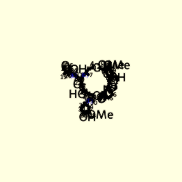 CO[C@H]1C[C@@H](C)C/C(C)=C/[C@@H](C/C=C/C2(O)COCC2(C)C)C(=O)C[C@H](O)[C@@H](C)[C@@H](/C(C)=C/[C@@H]2CC[C@@H](O)[C@H](OC)C2)CC(=O)[C@@H]2CCCCN2C(=O)C(=O)[C@]2(O)O[C@H]1[C@@H](OC)C[C@H]2C